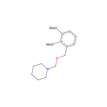 COc1cccc(COCN2CC[CH]CC2)c1OC